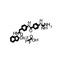 N=C(N)Nc1ccc(C(=O)Nc2ccc(CC(=O)N[C@H]3c4ccccc4C[C@H]3O)cc2)cc1.O=C(O)C(F)(F)F